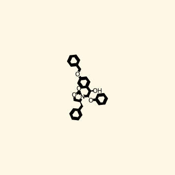 O=C1OC[C@H](Cc2ccccc2)N1[C@@H](Oc1ccccc1)[C@H](O)c1ccc(OCc2ccccc2)cc1